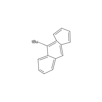 CC(C)(C)c1c2ccccc2cc2ccccc12